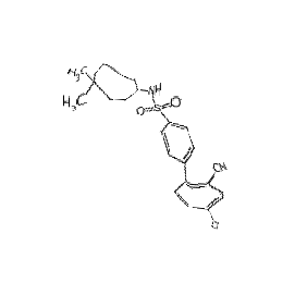 CC1(C)CCC(NS(=O)(=O)c2ccc(-c3ccc(Cl)cc3C#N)cc2)CC1